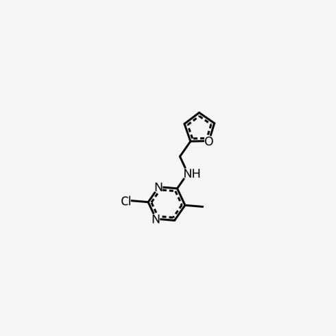 Cc1cnc(Cl)nc1NCc1ccco1